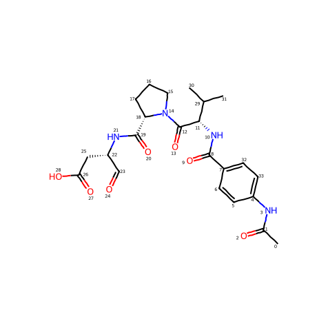 CC(=O)Nc1ccc(C(=O)N[C@H](C(=O)N2CCC[C@H]2C(=O)N[C@H](C=O)CC(=O)O)C(C)C)cc1